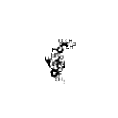 Cc1ccc(OCC2CC2)c(-c2ncnc3c(C(=O)N[C@H]4CCN(C(=O)[C@H](C)O)C[C@H]4F)c(C)[nH]c23)c1F